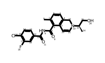 Cc1ccc2c(c1C(=O)NC(=O)c1ccc(Cl)c(F)c1)C=CN([C@H](C)CO)C2